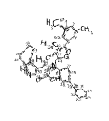 Cc1cc(C)cc(C(=O)N(C)[C@@H](C)C(=O)N(c2ccc(-c3ccccc3)cc2)[C@@H](Cc2c[nH]c3ccccc23)C(=O)O)c1